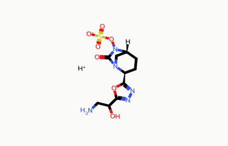 NCC(O)c1nnc([C@@H]2CC[C@@H]3CN2C(=O)N3OS(=O)(=O)[O-])o1.[H+]